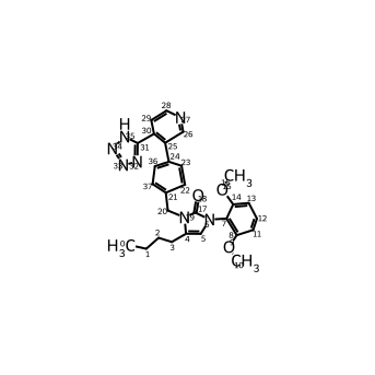 CCCCc1cn(-c2c(OC)cccc2OC)c(=O)n1Cc1ccc(-c2cnccc2-c2nnn[nH]2)cc1